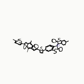 Cc1ccc2c(c1)SC(=O)/C2=C1/C(=O)Sc2cc(-c3ccc(-c4cc5c(C)c6oc(-c7ccc(C)s7)cc6c(C)c5o4)s3)ccc21